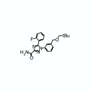 CC(C)(C)COCc1cccc(-n2nc(C(N)=O)nc2-c2ccccc2F)c1